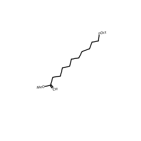 [CH]=C(CCCCCCCCCCCCCCCCCC)OC